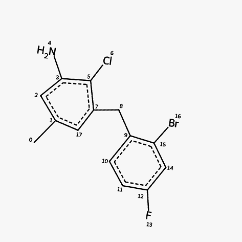 Cc1cc(N)c(Cl)c(Cc2ccc(F)cc2Br)c1